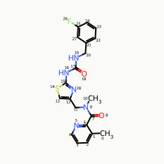 Cc1cccnc1C(=O)N(C)Cc1csc(NC(=O)NCc2cccc(F)c2)n1